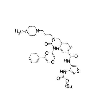 CN1CCN(CCCN(Cc2ccc(C(=O)Nc3cscc3NC(=O)OC(C)(C)C)nc2)C(=O)NC2=COC=C(C3=CC=CCC3)O2)CC1